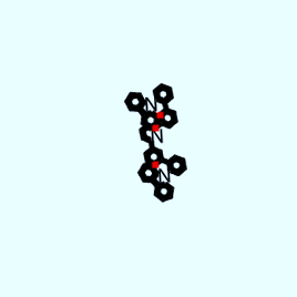 c1cc(-c2cccc(-c3cccc(-c4ccccc4-n4c5ccccc5c5ccccc54)c3)n2)cc(-c2ccccc2-n2c3ccccc3c3ccccc32)c1